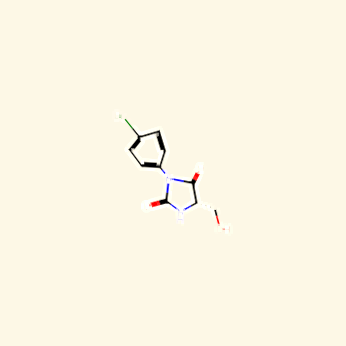 O=C1N[C@@H](CO)C(=O)N1c1ccc(Br)cc1